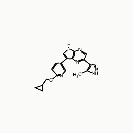 Cc1[nH]ncc1-c1cnc2[nH]cc(-c3ccc(OCC4CC4)nc3)c2n1